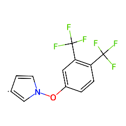 FC(F)(F)c1ccc(On2c[c]cc2)cc1C(F)(F)F